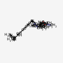 C=C/C=C/C=C(\C)[C@H](C[C@@H]1CC[C@@H](C)[C@](O)(C(=O)C(=O)N2CCCC[C@H]2C(=O)O[C@@H](CC(O)[C@H](C)/C=C(\C)[C@@H](O)[C@@H](O)/C(=N/OCc2cn(CCOCCOCCOCCOCCOCCCCOCCC(=O)NCCCCn3nc(-c4ccc5oc(N)nc5c4)c4c(N)ncnc43)nn2)[C@H](C)CC(C)C)[C@H](N)C[C@@H]2CC[C@@H](O)[C@H](OC)C2)O1)OC